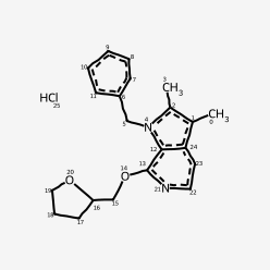 Cc1c(C)n(Cc2ccccc2)c2c(OCC3CCCO3)nccc12.Cl